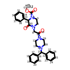 CC(C)(C)OC(=O)N1CCN(CC(=O)N2CCN(C(c3ccccc3)c3ccccc3)CC2)C(=O)C1c1ccccc1